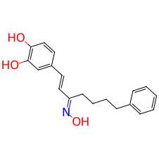 O/N=C(/C=C/c1ccc(O)c(O)c1)CCCCc1ccccc1